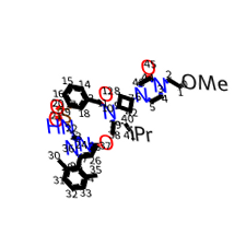 COCCN1CCN([C@H]2C[C@@H](N3C(=O)c4cccc(c4)S(=O)(=O)Nc4nc(cc(-c5c(C)cccc5C)n4)OC[C@H]3CC(C)C)C2)CC1=O